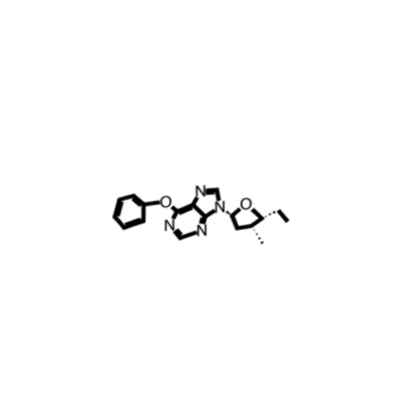 CC[C@H]1O[C@@H](n2cnc3c(Oc4ccccc4)ncnc32)C[C@H]1C